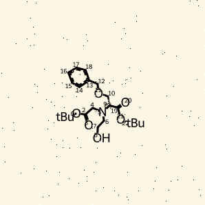 CC(C)(C)OC(=O)CN(CCO)[C@@H](COCc1ccccc1)C(=O)OC(C)(C)C